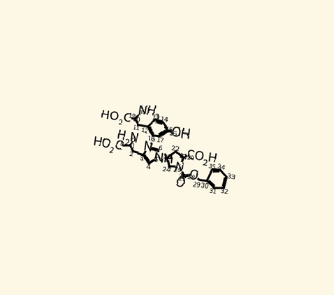 NC(Cc1c[nH]cn1)C(=O)O.NC(Cc1ccc(O)cc1)C(=O)O.O=C(O)[C@@H]1CCCN1C(=O)OCc1ccccc1